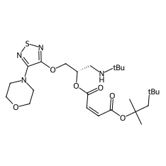 CC(C)(C)CC(C)(C)OC(=O)/C=C\C(=O)O[C@@H](CNC(C)(C)C)COc1nsnc1N1CCOCC1